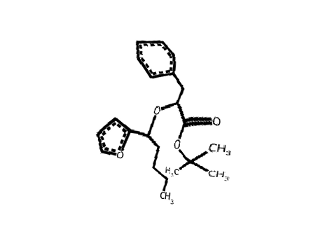 CCCCC(OC(Cc1ccccc1)C(=O)OC(C)(C)C)c1ccco1